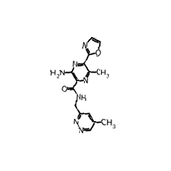 Cc1cnnc(CNC(=O)c2nc(C)c(-c3ncco3)nc2N)c1